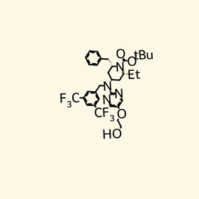 CC[C@@H]1C[C@H](N(Cc2cc(C(F)(F)F)cc(C(F)(F)F)c2)c2ncc(OCCO)cn2)C[C@H](Cc2ccccc2)N1C(=O)OC(C)(C)C